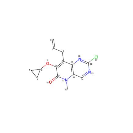 C=CCc1c(OC2CC2)c(=O)n(C)c2cnc(Cl)nc12